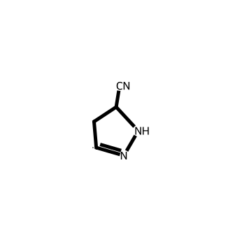 N#CC1C[C]=NN1